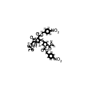 C[C@@H](NS(C)(=O)=O)[C@@H]1C(=O)N2C(C(=O)OCc3ccc([N+](=O)[O-])cc3)=C(S[C@H]3C[C@@H](C(=O)N(C)C)N(C(=O)OCc4ccc([N+](=O)[O-])cc4)C3)[C@H](C)[C@@H]12